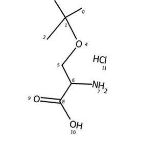 CC(C)(C)OCC(N)C(=O)O.Cl